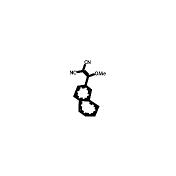 COC(=C(C#N)C#N)c1ccc2ccccc2c1